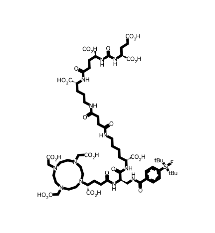 CC(C)(C)[Si](F)(c1ccc(C(=O)NC[C@@H](NC(=O)CC[C@H](C(=O)O)N2CCN(CC(=O)O)CCN(CC(=O)O)CCN(CC(=O)O)CC2)C(=O)N[C@H](CCCCNC(=O)CCC(=O)NCCC[C@@H](NC(=O)CC[C@H](NC(=O)N[C@@H](CCC(=O)O)C(=O)O)C(=O)O)C(=O)O)C(=O)O)cc1)C(C)(C)C